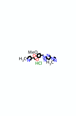 COc1cc(Cn2cnc3cc(-n4ccnc4C)cnc32)cc2c1OC(c1ccc(C)nc1)CO2.Cl